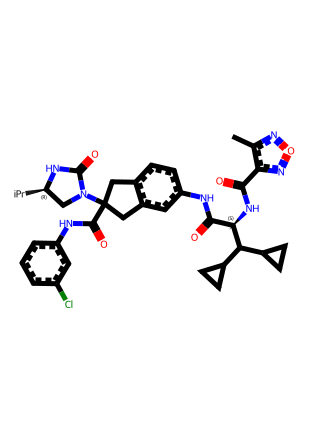 Cc1nonc1C(=O)N[C@H](C(=O)Nc1ccc2c(c1)CC(C(=O)Nc1cccc(Cl)c1)(N1C[C@@H](C(C)C)NC1=O)C2)C(C1CC1)C1CC1